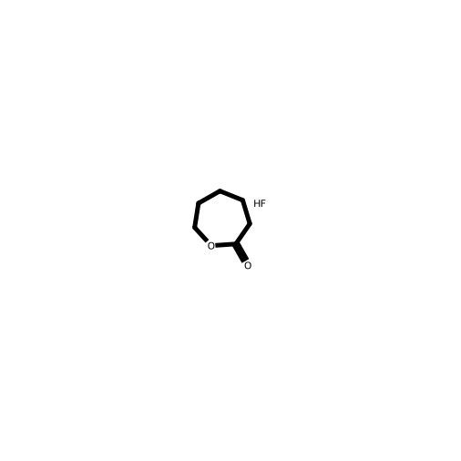 F.O=C1CCCCCO1